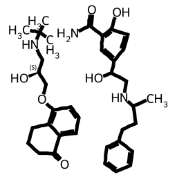 CC(C)(C)NC[C@H](O)COc1cccc2c1CCCC2=O.CC(CCc1ccccc1)NCC(O)c1ccc(O)c(C(N)=O)c1